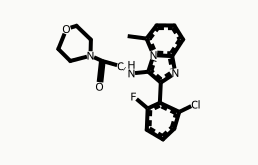 Cc1cccc2nc(-c3c(F)cccc3Cl)c(NCC(=O)N3CCOCC3)n12